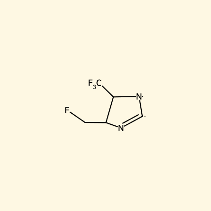 FCC1N=[C][N]C1C(F)(F)F